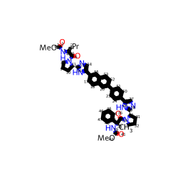 COC(=O)NC(C(=O)N1CCC[C@H]1c1ncc(-c2ccc3cc(-c4ccc(-c5cnc([C@@H]6CCCN6C(=O)[C@@](C)(NC(=O)OC)c6ccccc6)[nH]5)cc4)ccc3c2)[nH]1)C(C)C